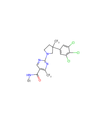 CCNC(=O)c1cnc(N2CCC(c3cc(Cl)c(Cl)c(Cl)c3)(C(F)(F)F)C2)nc1C(F)(F)F